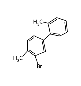 Cc1ccc(-c2ccccc2C)cc1Br